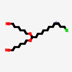 OCCCCCCOC(CCCCCCC/C=C\CCCl)OCCCCCCO